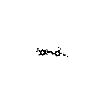 COCOc1ccc(C=Cc2nc3cc(C)c(N(C)C)cc3s2)cc1OC